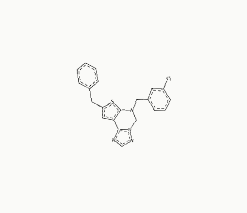 Clc1cccc(CN2Cn3ncnc3-c3cc(Cc4ccccc4)sc32)c1